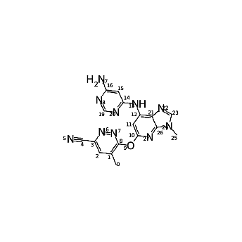 Cc1cc(C#N)nnc1Oc1cc(Nc2cc(N)ncn2)c2ncn(C)c2n1